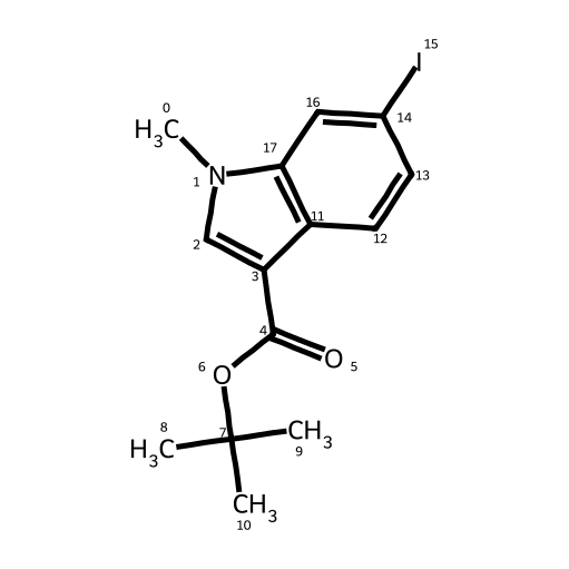 Cn1cc(C(=O)OC(C)(C)C)c2ccc(I)cc21